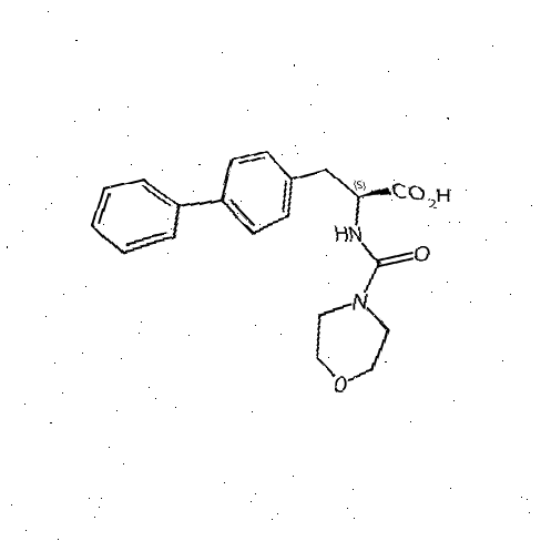 O=C(O)[C@H](Cc1ccc(-c2ccccc2)cc1)NC(=O)N1CCOCC1